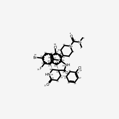 CN(C)C(=O)N1CCC(Oc2ccc(Br)c(F)c2[C@H]2NC(=O)C[C@@H](C3C=CC=C(Cl)C3)[C@]23C(=O)Nc2cc(Cl)ccc23)CC1